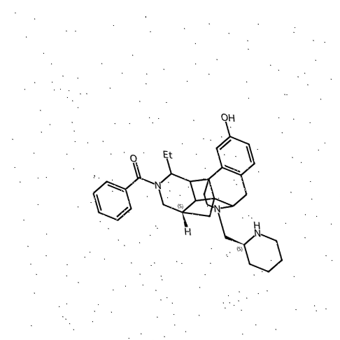 CCC1C2C3[C@@H](CN1C(=O)c1ccccc1)CC31C3Cc4ccc(O)cc4C21CCN3C[C@@H]1CCCCN1